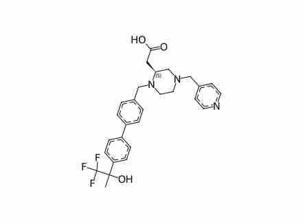 CC(O)(c1ccc(-c2ccc(CN3CCN(Cc4ccncc4)C[C@@H]3CC(=O)O)cc2)cc1)C(F)(F)F